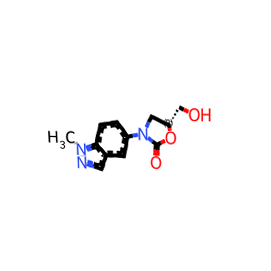 Cn1ncc2cc(N3C[C@H](CO)OC3=O)ccc21